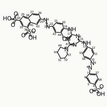 O=S(=O)(O)c1ccc(N=Nc2ccc(Nc3nc(Nc4ccc(N=Nc5ccc6cc(S(=O)(=O)O)cc(S(=O)(=O)O)c6c5)cc4O)nc(N4CCCCC4)n3)cc2)cc1